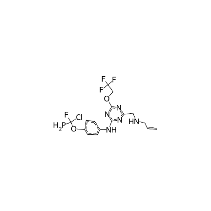 C=CCNCc1nc(Nc2ccc(OC(F)(P)Cl)cc2)nc(OCC(F)(F)F)n1